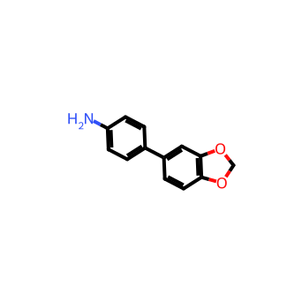 Nc1ccc(-c2ccc3c(c2)OCO3)cc1